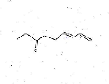 C=C/C=C/CCC(=O)CC